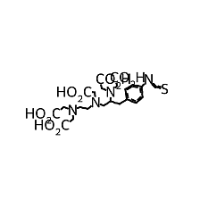 O=C(O)CN(CCN(CC(=O)O)CC(Cc1ccc(N=C=S)cc1)N(CC(=O)O)CC(=O)O)CC(=O)O